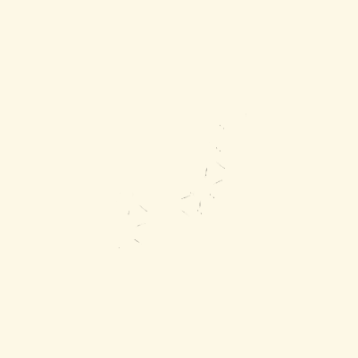 CCN1CCN(c2ccc(Nc3ncc(CCc4cc(OC)cc(C(C)=O)c4)cn3)cc2)CC1